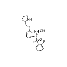 Cl.O=S(=O)(c1ccccc1F)c1c[nH]c2c(OCC3CCCN3)cccc12